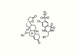 CC(=O)S[C@@H]1CC2=CC(=O)CC[C@]2(C)[C@H]2CC[C@@]3(C)[C@@H](CC[C@@]34CCC(=O)O4)[C@H]12.CC(C)CC1Nc2cc(Cl)c(S(N)(=O)=O)cc2S(=O)(=O)N1